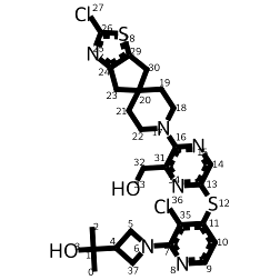 CC(C)(O)C1CN(c2nccc(Sc3cnc(N4CCC5(CC4)Cc4nc(Cl)sc4C5)c(CO)n3)c2Cl)C1